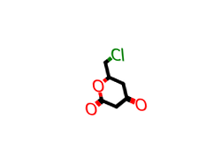 O=C1CC(=O)OC(CCl)C1